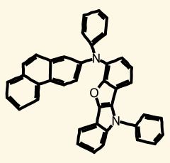 c1ccc(N(c2ccc3c(ccc4ccccc43)c2)c2cccc3c2oc2c4ccccc4n(-c4ccccc4)c32)cc1